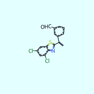 C=C(c1cccc(C=O)c1)c1nc2c(Cl)cc(Cl)cc2s1